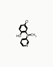 CN(c1cccnc1)c1cc(Cl)ccc1O